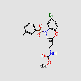 Cc1cccc(S(=O)(=O)N2C[C@H](CCNC(=O)OC(C)(C)C)Oc3ccc(Br)cc32)c1